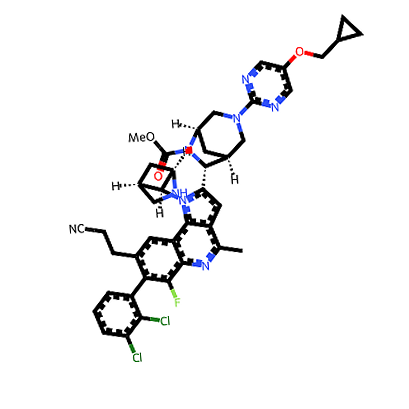 COC(=O)N1[C@@H]2C[C@@H](CN(c3ncc(OCC4CC4)cn3)C2)[C@@H]1c1cc2c(C)nc3c(F)c(-c4cccc(Cl)c4Cl)c(CCC#N)cc3c2n1[C@H]1[C@H]2CN[C@@H]1C2